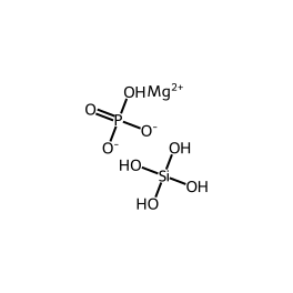 O=P([O-])([O-])O.O[Si](O)(O)O.[Mg+2]